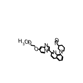 COCCOc1ccn2c(-c3ccc4cccc(N5CCCC(N=O)C5)c4n3)cnc2c1